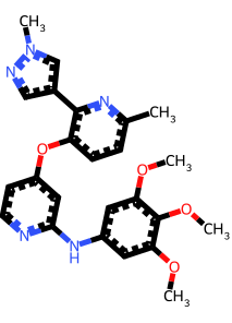 COc1cc(Nc2cc(Oc3ccc(C)nc3-c3cnn(C)c3)ccn2)cc(OC)c1OC